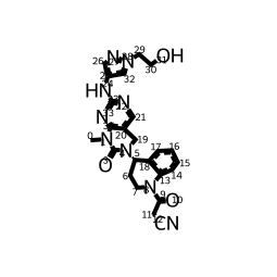 CN1C(=O)N([C@H]2CCN(C(=O)CC#N)c3ccccc32)Cc2cnc(Nc3cnn(CCO)c3)nc21